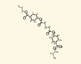 CCCOC(=O)c1ccc(OC(=O)CCCC(=O)Oc2ccc(C(=O)OCCC)cc2)cc1